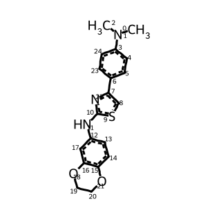 CN(C)c1ccc(-c2csc(Nc3ccc4c(c3)OCCO4)n2)cc1